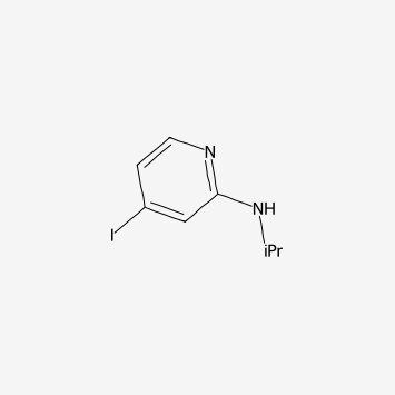 CC(C)Nc1cc(I)ccn1